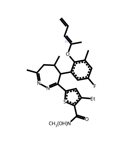 C=C/C=C(\C)Oc1c(C)cc(F)cc1C1C(c2cc(CC)c(C(=O)N(C)O)s2)=NN=C(C)CC1C